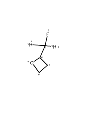 [2H]C([2H])(F)[C]1CCO1